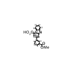 COC(=O)c1cncc(CSc2nc3ccccc3n2C(C(=O)O)C(C)(C)C)c1